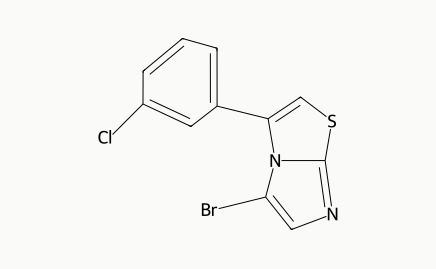 Clc1cccc(-c2csc3ncc(Br)n23)c1